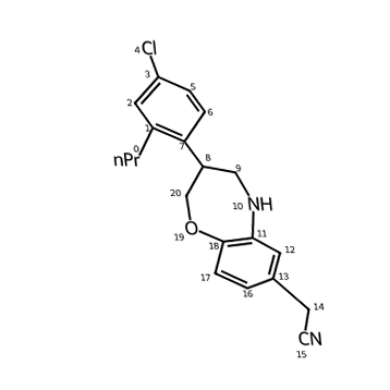 CCCc1cc(Cl)ccc1C1CNc2cc(CC#N)ccc2OC1